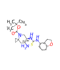 CC(C)(C)OC(=O)N1C[C@@H](NC(=S)Nc2cccc3c2CCO3)[C@@H](N)CC12CC2